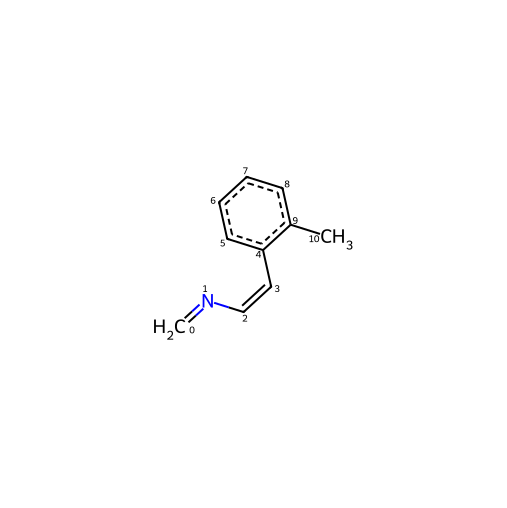 C=N/C=C\c1ccccc1C